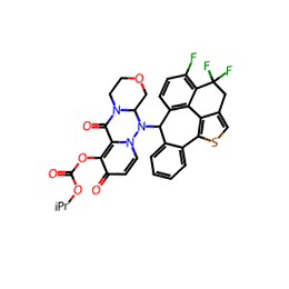 CC(C)OC(=O)Oc1c2n(ccc1=O)N(C1c3ccccc3-c3scc4c3-c3c1ccc(F)c3C(F)(F)C4)C1COCCN1C2=O